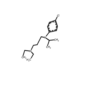 CCN(CC)CCCN(c1ccc(Cl)cc1)C(C)C